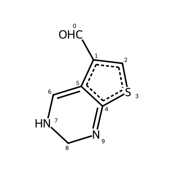 O=Cc1csc2c1=CNCN=2